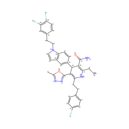 Cc1nnc(C2=C(CCc3ccc(F)cc3)NC(CC(C)C)=C(C(N)=O)C2c2ccc3c(ccn3CCc3ccc(F)c(F)c3)c2)o1